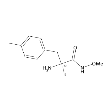 CONC(=O)[C@@](C)(N)Cc1ccc(C)cc1